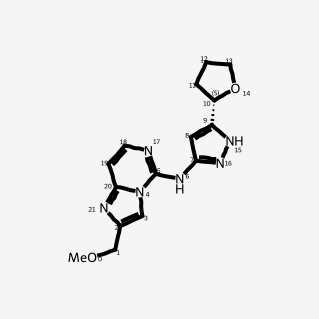 COCc1cn2c(Nc3cc([C@@H]4C[CH]CO4)[nH]n3)nccc2n1